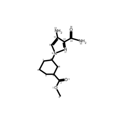 COC(=O)C1CCCC(n2cc(N)c(C(N)=O)n2)C1